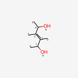 CC(=C(C)C(C)O)C(C)O